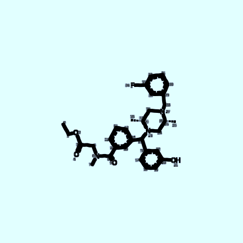 CCOC(=O)CN(C)C(=O)c1cccc(C(c2cccc(O)c2)N2C[C@@H](C)N(Cc3cccc(F)c3)C[C@H]2C)c1